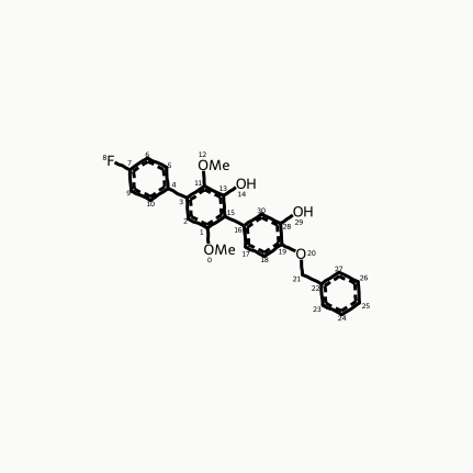 COc1cc(-c2ccc(F)cc2)c(OC)c(O)c1-c1ccc(OCc2ccccc2)c(O)c1